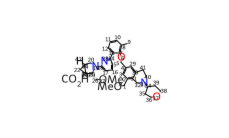 COCc1cc(COc2c(C)cccc2-c2cccc(N3C[C@@H]4C[C@]4(C(=O)O)[C@H]3COC)n2)cc2c1CN(C1CCOCC1)CC2